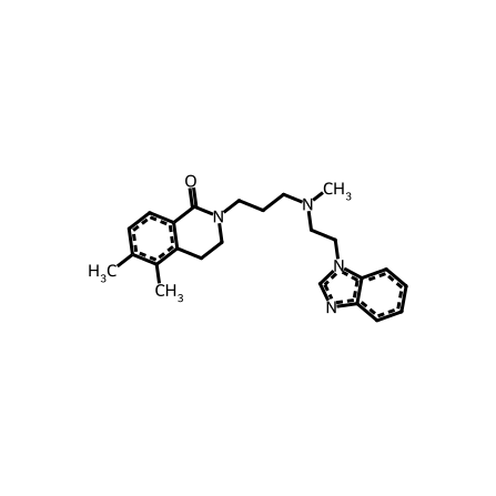 Cc1ccc2c(c1C)CCN(CCCN(C)CCn1cnc3ccccc31)C2=O